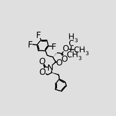 CC(C)(C)OC(=O)C[C@@H](Cc1cc(F)c(F)cc1F)C(=O)N1C(=O)OC[C@@H]1Cc1ccccc1